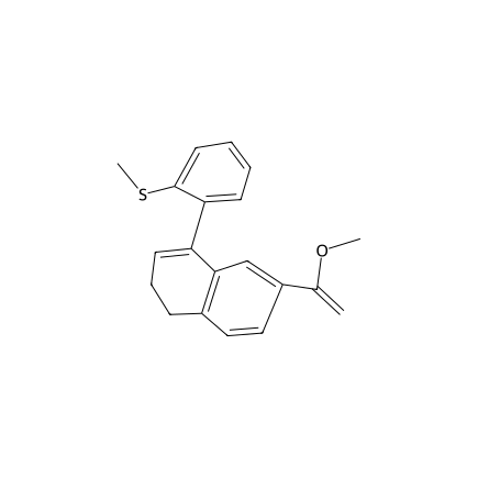 C=C(OC)c1ccc2c(c1)C(c1ccccc1SC)=CCC2